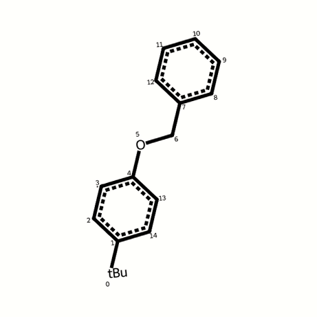 CC(C)(C)c1c[c]c(OCc2ccccc2)cc1